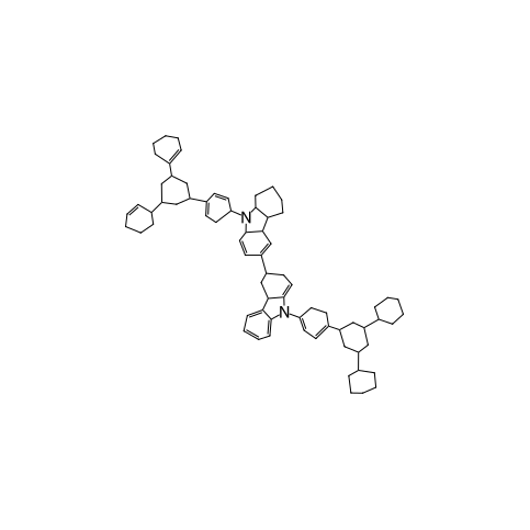 C1=CC(C2CC(C3=CCC(N4C5C=CC(C6CC=C7C(C6)c6ccccc6N7C6=CC=C(C7CC(C8CCCCC8)CC(C8CCCCC8)C7)CC6)=CC5C5CCCCC54)C=C3)CC(C3=CCCCC3)C2)CCC1